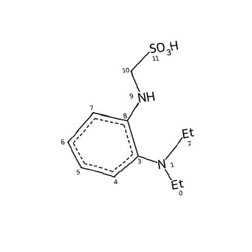 CCN(CC)c1ccccc1NCS(=O)(=O)O